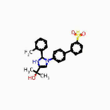 CC(C)(O)C1=CN(c2ccc(-c3cccc([SH](=O)=O)c3)cc2)C(c2ccccc2C(F)(F)F)N1